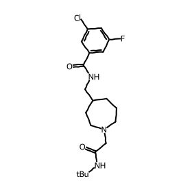 CC(C)(C)NC(=O)CN1CCCC(CNC(=O)c2cc(F)cc(Cl)c2)CC1